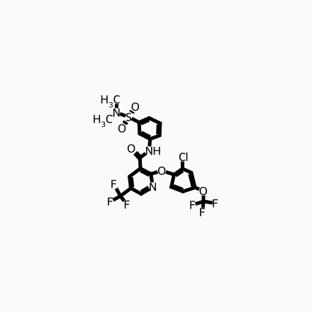 CN(C)S(=O)(=O)c1cccc(NC(=O)c2cc(C(F)(F)F)cnc2Oc2ccc(OC(F)(F)F)cc2Cl)c1